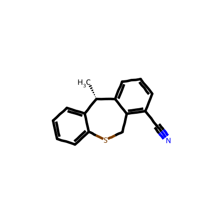 C[C@H]1c2ccccc2SCc2c(C#N)cccc21